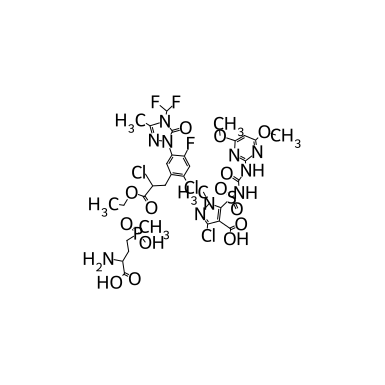 CCOC(=O)C(Cl)Cc1cc(-n2nc(C)n(C(F)F)c2=O)c(F)cc1Cl.COc1cc(OC)nc(NC(=O)NS(=O)(=O)c2c(C(=O)O)c(Cl)nn2C)n1.CP(=O)(O)CCC(N)C(=O)O